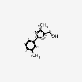 Cc1cccc(-c2nc(C)c(CO)s2)c1